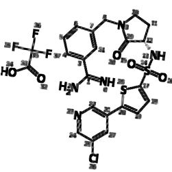 N=C(N)c1cccc(CN2CC[C@H](NS(=O)(=O)c3ccc(-c4cncc(Cl)c4)s3)C2=O)c1.O=C(O)C(F)(F)F